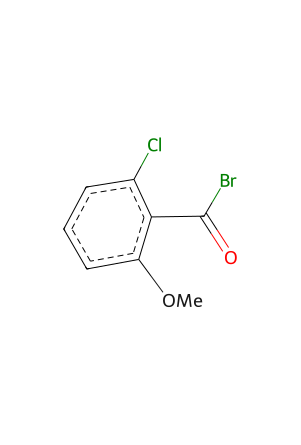 COc1cccc(Cl)c1C(=O)Br